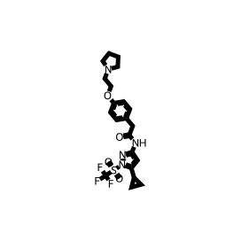 O=C(Cc1ccc(OCCN2CCCC2)cc1)Nc1cc(C2CC2)n(S(=O)(=O)C(F)(F)F)n1